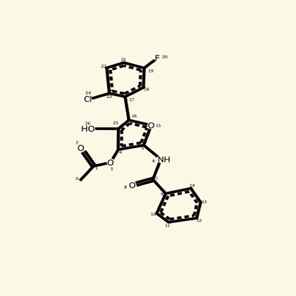 CC(=O)Oc1c(NC(=O)c2ccccc2)oc(-c2cc(F)ccc2Cl)c1O